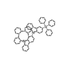 c1ccc([Si](c2ccccc2)(c2ccccc2)c2ccc3c(c2)c2ccccc2n3-c2ccc3c4ccccc4n4c5ccccc5c5ccccc5c5ccccc5c2c34)cc1